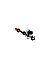 COc1ccc(C#Cc2ccc(-c3nc(O)nc(-c4c(OCc5cccc(C)n5)cccc4C(F)(F)F)n3)cc2)cc1